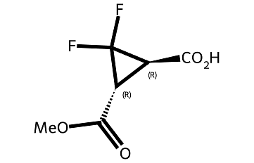 COC(=O)[C@H]1[C@H](C(=O)O)C1(F)F